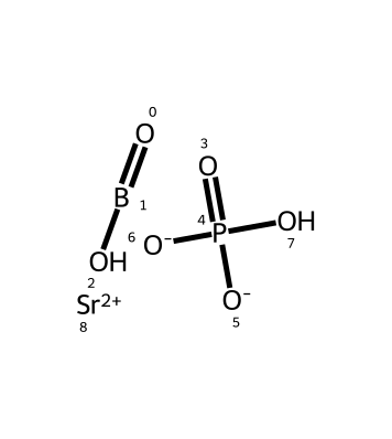 O=BO.O=P([O-])([O-])O.[Sr+2]